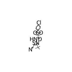 CC(C)(C)c1nc(NC(=O)C(C)(C)S(=O)(=O)c2ccc(Cl)cc2)sc1C#N